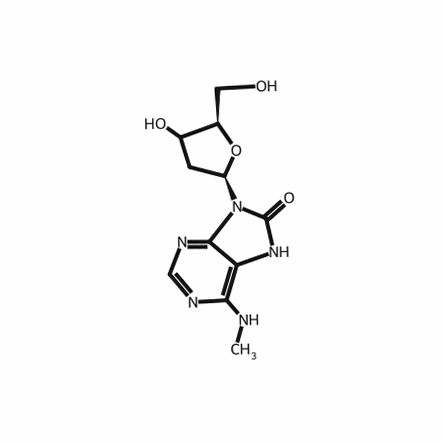 CNc1ncnc2c1[nH]c(=O)n2[C@H]1CC(O)[C@@H](CO)O1